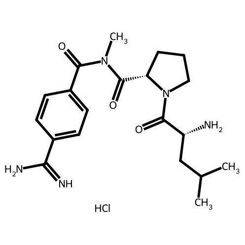 CC(C)C[C@@H](N)C(=O)N1CCC[C@H]1C(=O)N(C)C(=O)c1ccc(C(=N)N)cc1.Cl